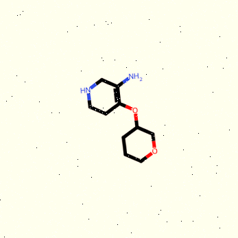 NC1=C(OC2CCCOC2)CCNC1